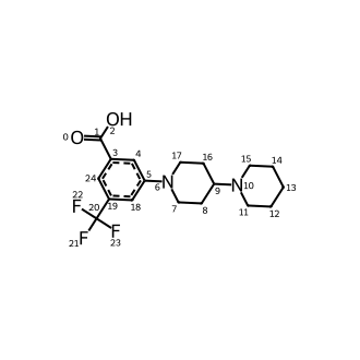 O=C(O)c1cc(N2CCC(N3CCCCC3)CC2)cc(C(F)(F)F)c1